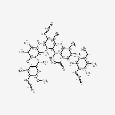 CO[C@H]1OC(CO)[C@@H](O[C@@H]2OC(C)[C@@H](O[C@H]3OC(CO)[C@@H](O[C@@H]4O[C@@H](C(=O)O)[C@@H](O[C@H]5O[C@@H](CO)[C@@H](C)[C@H](C)C5N=[N+]=[N-])[C@H](C)C4C)[C@H](O)C3N=[N+]=[N-])[C@H](C)C2O)[C@H](C)C1N=[N+]=[N-]